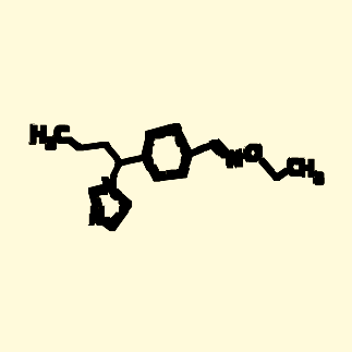 CCCC(c1ccc(/C=N/OCC)cc1)n1ccnc1